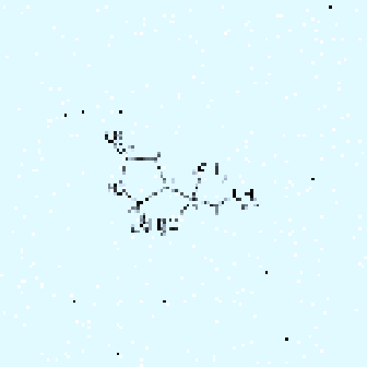 CCC(C)(C)C1CC(=O)OC1=S